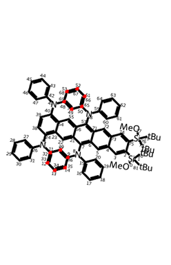 CO[Si](c1cc2cc3c(N(c4ccccc4)c4ccccc4)c4cc5c(N(c6ccccc6)c6ccccc6)ccc(N(c6ccccc6)c6ccccc6)c5cc4c(N(c4ccccc4)c4ccccc4)c3cc2cc1[Si](OC)(C(C)(C)C)C(C)(C)C)(C(C)(C)C)C(C)(C)C